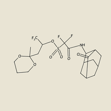 CC1(CC(OS(=O)(=O)C(F)(F)C(=O)NC2C3CC4CC(C3)C(=O)C2C4)C(F)(F)F)OCCCO1